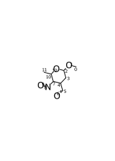 COC1CC(C=O)C(N=O)C(C)O1